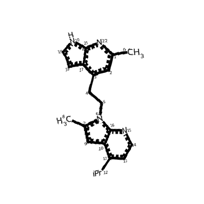 Cc1cc(CCn2c(C)cc3c(C(C)C)ccnc32)c2cc[nH]c2n1